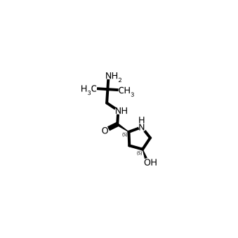 CC(C)(N)CNC(=O)[C@@H]1C[C@H](O)CN1